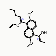 C=CO/C(=C\CCC)c1c(OC)ccc2c(/C(O)=C/C)c(OC)ccc12